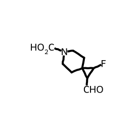 O=CC1C(F)C12CCN(C(=O)O)CC2